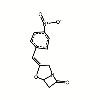 O=C1CC2O/C(=C/c3ccc([N+](=O)[O-])cc3)CN12